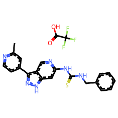 Cc1cc(-c2n[nH]c3cc(NC(=S)NCc4ccccc4)ncc23)ccn1.O=C(O)C(F)(F)F